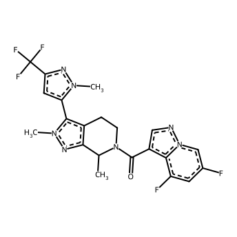 CC1c2nn(C)c(-c3cc(C(F)(F)F)nn3C)c2CCN1C(=O)c1cnn2cc(F)cc(F)c12